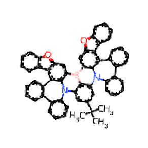 CC(C)(C)c1cc2c3c(c1)N1c4ccccc4-c4ccccc4-c4c1c(cc1oc5ccccc5c41)B3c1cc3oc4ccccc4c3c3c1N2c1ccccc1-c1ccccc1-3